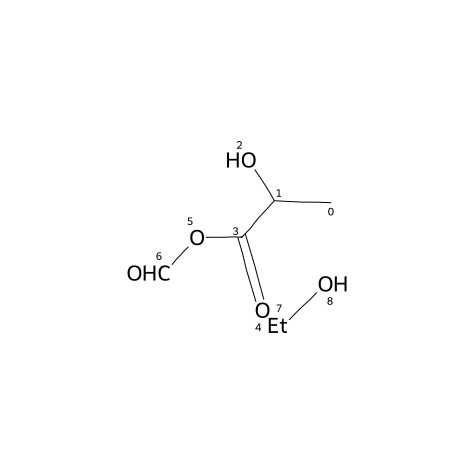 CC(O)C(=O)OC=O.CCO